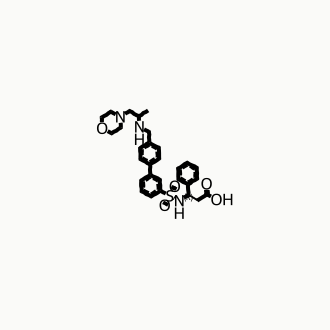 CC(CN1CCOCC1)NCc1ccc(-c2cccc(S(=O)(=O)N[C@H](CC(=O)O)c3ccccc3)c2)cc1